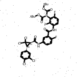 CC(C)(C)OC(=O)N(C(=O)OC(C)(C)C)c1c(F)ccc(NC(=O)c2cc(NC(=O)[C@H]3[C@H](c4ccc(Cl)c(Cl)c4)C3(Cl)Cl)ccc2F)c1F